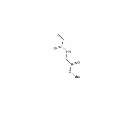 C=CC(=O)NCC(=O)OC(C)(C)C